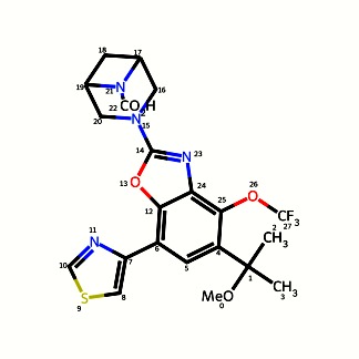 COC(C)(C)c1cc(-c2cscn2)c2oc(N3CC4CC(C3)N4C(=O)O)nc2c1OC(F)(F)F